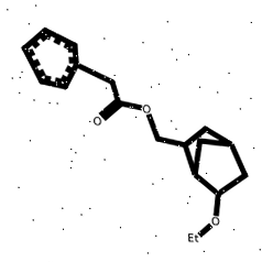 CCOC1CC2CC(COC(=O)Cc3ccccc3)C1C2